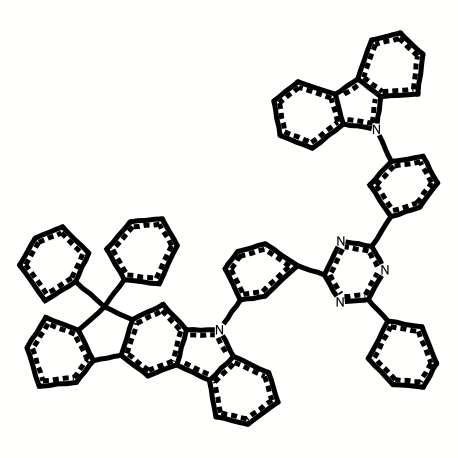 c1ccc(-c2nc(-c3cccc(-n4c5ccccc5c5ccccc54)c3)nc(-c3cccc(-n4c5ccccc5c5cc6c(cc54)C(c4ccccc4)(c4ccccc4)c4ccccc4-6)c3)n2)cc1